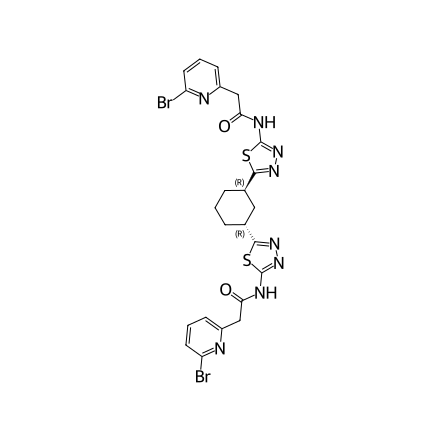 O=C(Cc1cccc(Br)n1)Nc1nnc([C@@H]2CCC[C@@H](c3nnc(NC(=O)Cc4cccc(Br)n4)s3)C2)s1